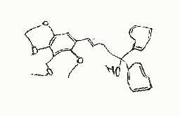 COc1c(/C=C/CC(O)(c2ccccc2)c2ccccc2)cc2c(c1OC)OCO2